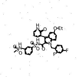 CCOc1ccc2c(c1)c(-c1ccc[nH]c1=O)c(C(=O)NS(=O)(=O)c1cccc(NS(C)(=O)=O)c1)n2Cc1ccc(F)cc1F